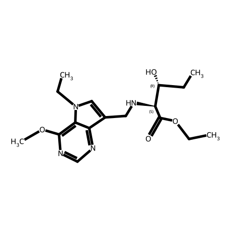 CCOC(=O)[C@@H](NCc1cn(CC)c2c(OC)ncnc12)[C@H](O)CC